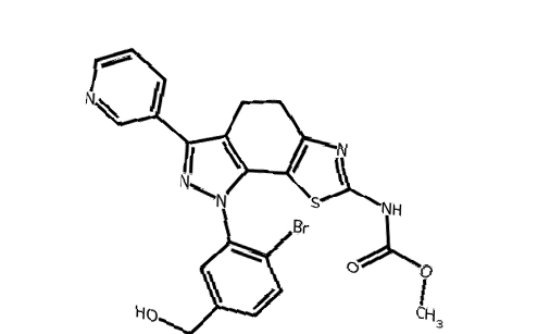 COC(=O)Nc1nc2c(s1)-c1c(c(-c3cccnc3)nn1-c1cc(CO)ccc1Br)CC2